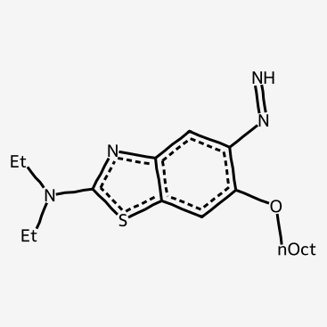 CCCCCCCCOc1cc2sc(N(CC)CC)nc2cc1N=N